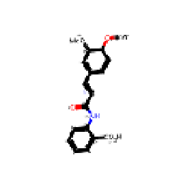 CCCOC1C=CC(/C=C/C(=O)Nc2ccccc2C(=O)O)=CC1OC